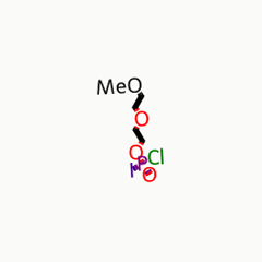 COCCOCCOP(=O)(Cl)I